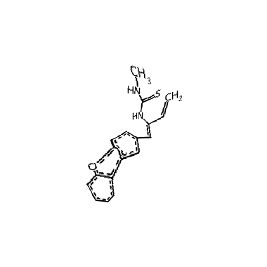 C=C/C(=C/c1ccc2oc3ccccc3c2c1)NC(=S)NC